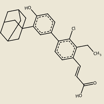 CCc1c(C=CC(=O)O)ccc(-c2ccc(O)c(C34CC5CC(CC(C5)C3)C4)c2)c1Cl